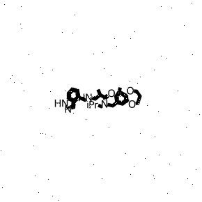 Cc1cc(CN(CC(C)C)C(=O)C(C)CNCc2cccc3[nH]ncc23)cc2c1OCCCO2